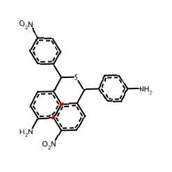 Nc1ccc(C(SC(c2ccc(N)cc2)c2ccc([N+](=O)[O-])cc2)c2ccc([N+](=O)[O-])cc2)cc1